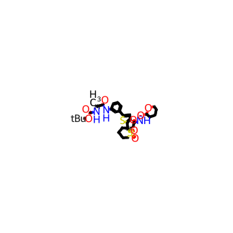 C[C@H](NC(=O)OC(C)(C)C)C(=O)Nc1cccc(-c2ccc([C@@]3(CC(=O)NOC4CCCCO4)CCCCS3(=O)=O)s2)c1